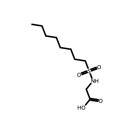 CCCCCCCCS(=O)(=O)NCC(=O)O